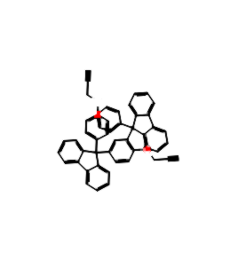 C#CCOc1ccc(C2(c3ccc(OCC#C)c(C4(c5ccccc5)c5ccccc5-c5ccccc54)c3)c3ccccc3-c3ccccc32)cc1